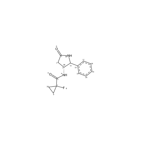 O=C1C[C@@H](NC(=O)C2(F)CC2)C(c2ccccc2)N1